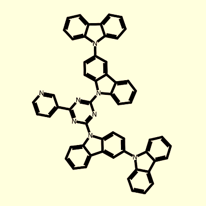 c1cncc(-c2nc(-n3c4ccccc4c4cc(-n5c6ccccc6c6ccccc65)ccc43)nc(-n3c4ccccc4c4cc(-n5c6ccccc6c6ccccc65)ccc43)n2)c1